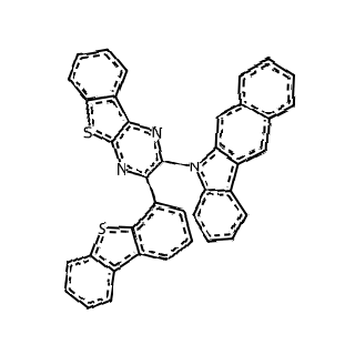 c1ccc2cc3c(cc2c1)c1ccccc1n3-c1nc2c(nc1-c1cccc3c1sc1ccccc13)sc1ccccc12